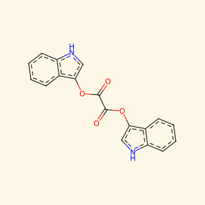 O=C(Oc1c[nH]c2ccccc12)C(=O)Oc1c[nH]c2ccccc12